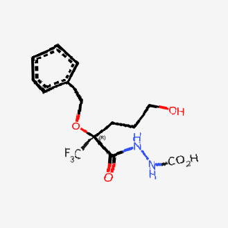 O=C(O)NNC(=O)[C@@](CCCO)(OCc1ccccc1)C(F)(F)F